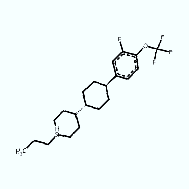 CCC[SiH]1CCC([C@H]2CC[C@H](c3ccc(OC(F)(F)F)c(F)c3)CC2)CC1